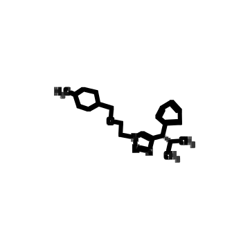 CC1CCC(COCCn2cc([C@H](c3ccccc3)C(C)C)nn2)CC1